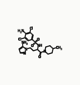 CC1CCN(C(=O)C(CCn2nccc2N)NS(=O)(=O)c2cc(Cl)c(N)c(Cl)c2)CC1